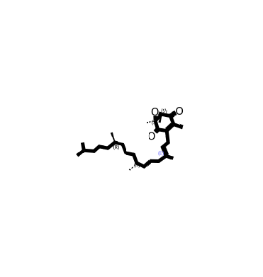 CC1=C(C/C=C(\C)CCC[C@H](C)CCC[C@H](C)CCCC(C)C)C(=O)[C@@]2(C)O[C@]2(C)C1=O